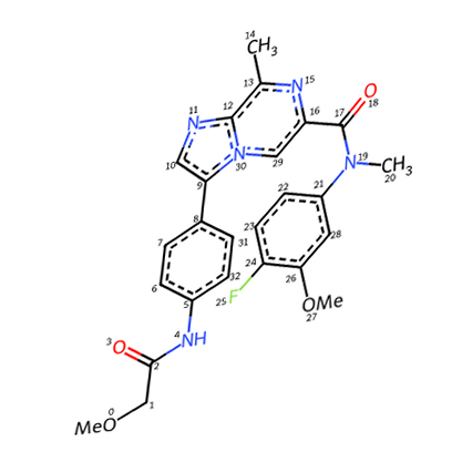 COCC(=O)Nc1ccc(-c2cnc3c(C)nc(C(=O)N(C)c4ccc(F)c(OC)c4)cn23)cc1